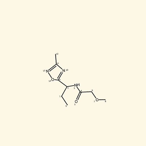 CCC(NC(=O)COC)c1nc(C)no1